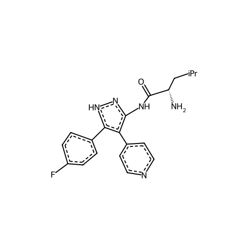 CC(C)C[C@H](N)C(=O)Nc1n[nH]c(-c2ccc(F)cc2)c1-c1ccncc1